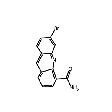 NC(=O)c1cccc2cc3ccc(Br)cc3nc12